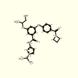 CC(CO)Oc1cc(Oc2ccc(C(=O)N3CCC3)cc2)cc(C(=O)Nc2ccn(C(C)C)n2)c1